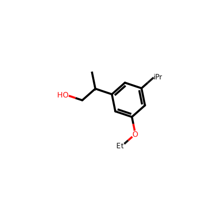 CCOc1cc([C](C)CO)cc(C(C)C)c1